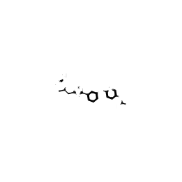 NC(=O)OC(CO)Cc1nc(-c2cccc(Oc3ccc(OC(F)F)cn3)c2)no1